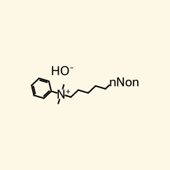 CCCCCCCCCCCCCC[N+](C)(C)c1ccccc1.[OH-]